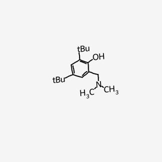 CN(C)Cc1cc(C(C)(C)C)cc(C(C)(C)C)c1O